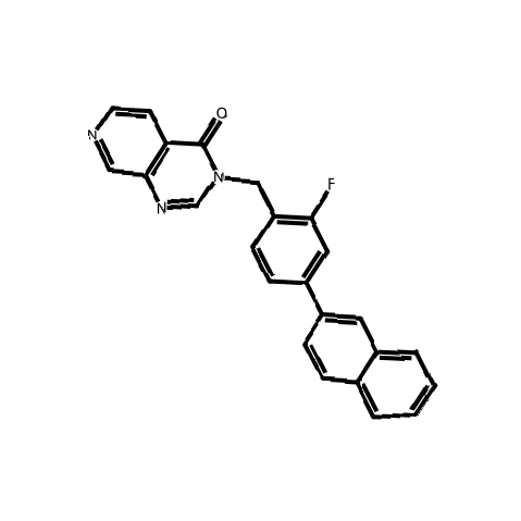 O=c1c2ccncc2ncn1Cc1ccc(-c2ccc3ccccc3c2)cc1F